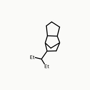 CC[C](CC)C1CC2CC1C1CCCC21